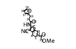 COCC(=O)N1CCc2c(sc(NC(=O)CCc3ccco3)c2C#N)C1